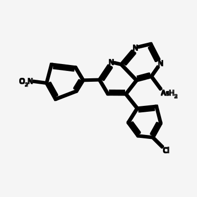 O=[N+]([O-])c1ccc(-c2cc(-c3ccc(Cl)cc3)c3c([AsH2])ncnc3n2)cc1